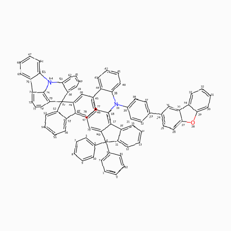 c1ccc(C2(c3ccccc3)c3ccccc3-c3c(N(c4ccc(-c5ccc6oc7ccccc7c6c5)cc4)c4ccccc4-c4ccc5c(c4)C4(c6ccccc6-5)c5ccccc5-n5c6ccccc6c6cccc4c65)cccc32)cc1